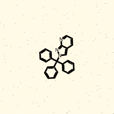 c1ccc(C(c2ccccc2)(c2ccccc2)n2cc3cccnc3n2)cc1